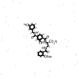 COc1ccccc1C(=O)NC[C@H](NC(=O)c1ccc(C(=O)NCc2cccc(O)c2)cc1Cl)C(=O)O